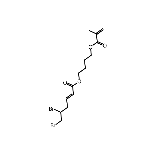 C=C(C)C(=O)OCCCCOC(=O)C=CCC(Br)CBr